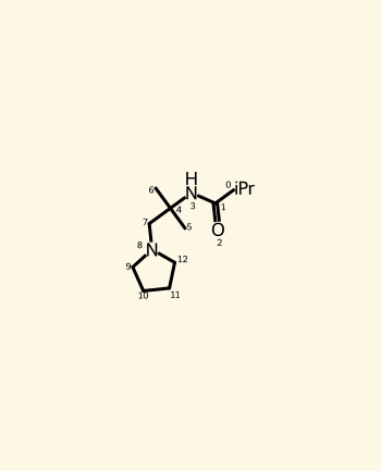 CC(C)C(=O)NC(C)(C)CN1CCCC1